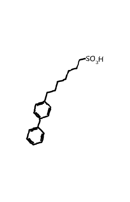 O=S(=O)(O)CCCCCCCc1ccc(-c2ccccc2)cc1